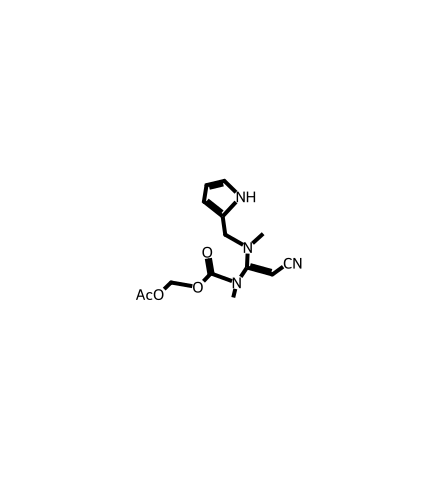 CC(=O)OCOC(=O)N(C)/C(=C/C#N)N(C)Cc1ccc[nH]1